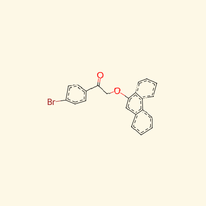 O=C(COc1cc2ccccc2c2ccccc12)c1ccc(Br)cc1